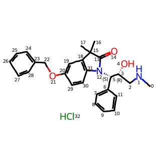 CNC[C@@H](O)[C@H](c1ccccc1)N1C(=O)C(C)(C)c2cc(OCc3ccccc3)ccc21.Cl